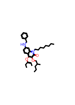 CC=C(CC)Oc1c(OCC(C)CCC)c(=O)n(CCCCCCCC)c2cc(NCc3ccccc3)ccc12